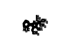 CCc1c(O)c(C(C)(C)C)nn1-c1ccccc1C